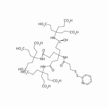 O=C(O)CCC(CCC(=O)O)(CCC(=O)O)NC(=O)CCC(CCC(=O)NC(CCC(=O)O)(CCC(=O)O)CCC(=O)O)(CC[C@H](O)NC(CCC(=O)O)(CCC(=O)O)CCC(=O)O)NC(=O)CCSSc1ccccn1